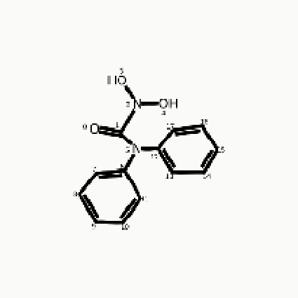 O=C(N(O)O)N(c1ccccc1)c1ccccc1